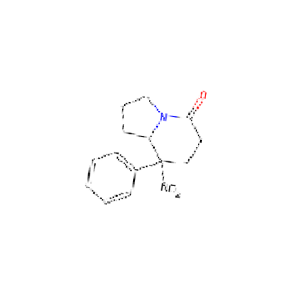 O=C1CCC(c2ccccc2)([N+](=O)[O-])C2CCCN12